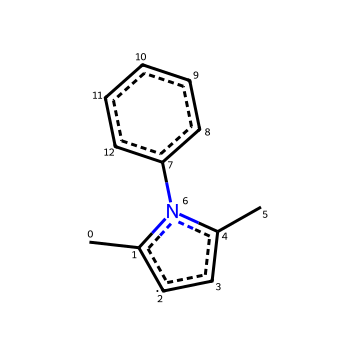 Cc1[c]cc(C)n1-c1ccccc1